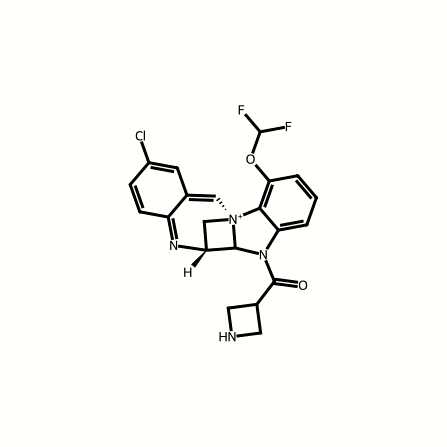 O=C(C1CNC1)N1c2cccc(OC(F)F)c2[N@+]23C=c4cc(Cl)ccc4=N[C@H](C2)C13